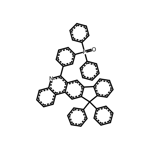 O=P(c1ccccc1)(c1ccccc1)c1cccc(-c2nc3ccccc3c3cc4c(cc23)-c2ccccc2C4(c2ccccc2)c2ccccc2)c1